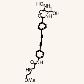 COCCNCC(=O)Nc1ccc(C#CC#Cc2ccc(C(=O)N[C@H](C(=O)NO)[C@@H](C)O)cc2)cc1